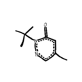 Cc1cnn(C(C)(C)C)c(=O)c1